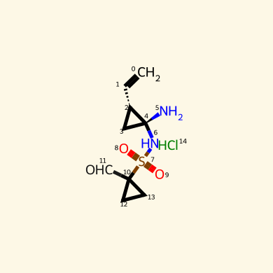 C=C[C@H]1C[C@@]1(N)NS(=O)(=O)C1(C=O)CC1.Cl